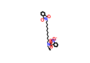 C#CCN(CCCCCCCCCCCCN1C(=O)c2ccccc2C1=O)S(=O)(=O)c1ccccc1[N+](=O)[O-]